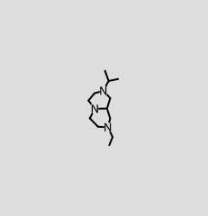 CCN1CCN2CCN(C(C)C)CC2C1